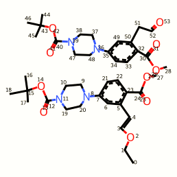 CCO/C=C/c1cc(N2CCN(C(=O)OC(C)(C)C)CC2)ccc1C(=O)OC.COC(=O)c1ccc(N2CCN(C(=O)OC(C)(C)C)CC2)cc1CC=O